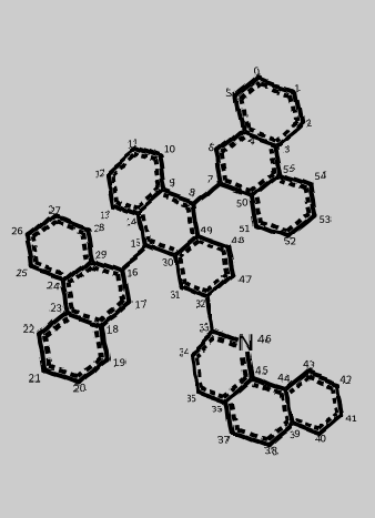 c1ccc2c(c1)cc(-c1c3ccccc3c(-c3cc4ccccc4c4ccccc34)c3cc(-c4ccc5ccc6ccccc6c5n4)ccc13)c1ccccc12